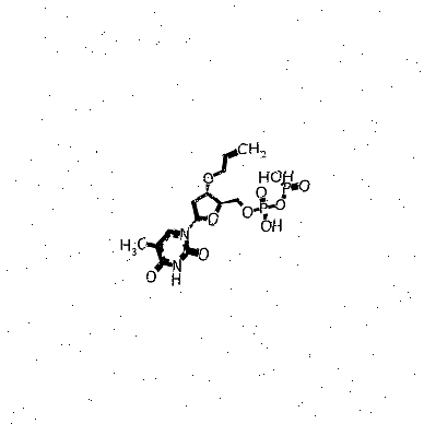 C=CCO[C@@H]1C[C@H](n2cc(C)c(=O)[nH]c2=O)O[C@@H]1COP(=O)(O)O[PH](=O)O